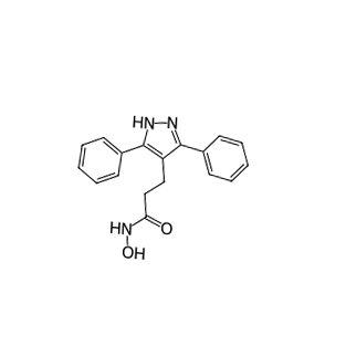 O=C(CCc1c(-c2ccccc2)n[nH]c1-c1ccccc1)NO